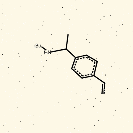 C=Cc1ccc(C(C)NC(C)CC)cc1